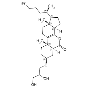 CC(C)CCC[C@@H](C)[C@H]1CC[C@H]2C3=C(CC[C@]12C)[C@@]1(C)CC[C@H](OCC(O)CO)C[C@@H]1C(=O)O3